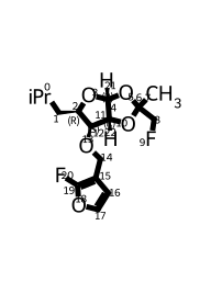 CC(C)C[C@H]1O[C@@H]2OC(C)(CF)O[C@@H]2[C@H]1OCc1ccoc1F